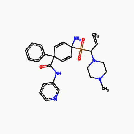 C=CC(N1CCN(C)CC1)S(=O)(=O)C1(N)C=CC(C(=O)Nc2cccnc2)(c2ccccc2)C=C1